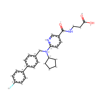 O=C(O)CCNC(=O)c1ccc(N(Cc2ccc(-c3ccc(F)cc3)cc2)C2CCCC2)nc1